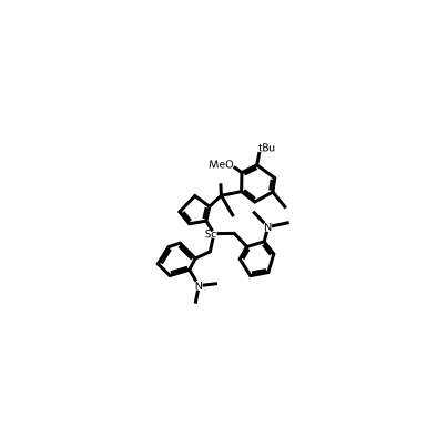 COc1c(C(C)(C)C)cc(C)cc1C(C)(C)C1=[C]([Sc]([CH2]c2ccccc2N(C)C)[CH2]c2ccccc2N(C)C)C=CC1